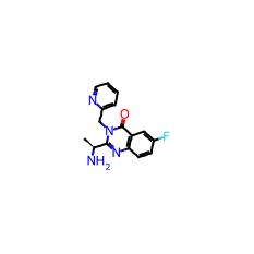 C[C@H](N)c1nc2ccc(F)cc2c(=O)n1Cc1ccccn1